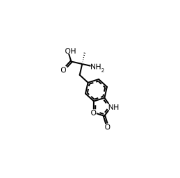 C[C@](N)(Cc1ccc2[nH]c(=O)oc2c1)C(=O)O